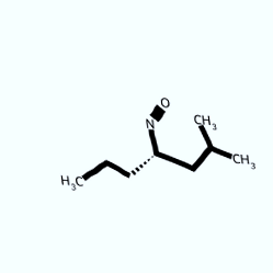 CCC[C@@H](CC(C)C)N=O